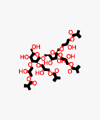 C=C(C)C(=O)OCC(O)COC[C@@]1(OCC(O)COC(=O)C(=C)C)O[C@H](CO[C@H]2O[C@H](CO)[C@@H](O)[C@H](OCC(O)COC(=O)C(=C)C)[C@H]2OCC(O)COC(=O)C(=C)C)[C@@H](O)[C@@H]1O